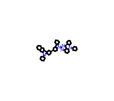 c1ccc(N2c3ccccc3-c3nc(-n4c5ccccc5c5cc(-c6ccc7c(c6)c6cc8ccccc8cc6n7-c6ccccc6)ccc54)nc4cccc2c34)cc1